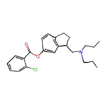 CCCN(CCC)CC1CCc2ccc(OC(=O)c3ccccc3Cl)cc21